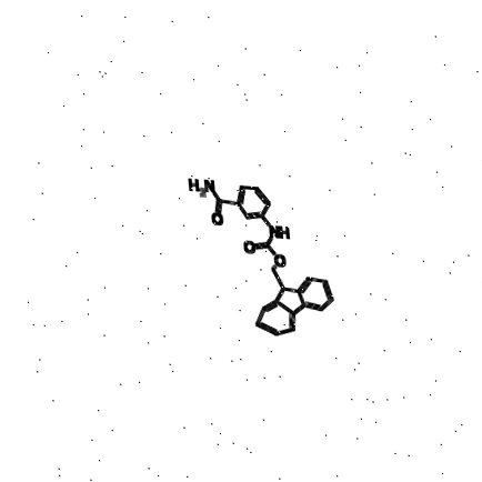 NC(=O)c1cccc(NC(=O)OCC2c3ccccc3-c3ccccc32)c1